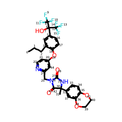 CCCc1cc(C(O)(C(F)(F)F)C(F)(F)F)ccc1Oc1ccnc(CN2C(=O)NC(C)(c3ccc4c(c3)OCCO4)C2=O)c1